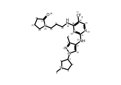 Cc1nn(C2CCN(C)C2)cc1Nc1ncc(C(F)(F)F)c(NCCCN2CCCC2=O)n1